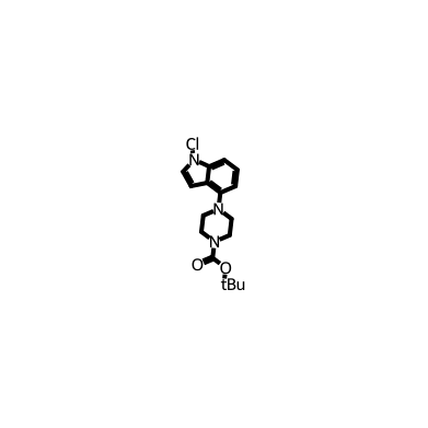 CC(C)(C)OC(=O)N1CCN(c2cccc3c2ccn3Cl)CC1